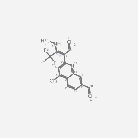 C=C/C(=C(\NC)C(F)(F)F)c1cc(Cl)c2ccc(C=C)cc2n1